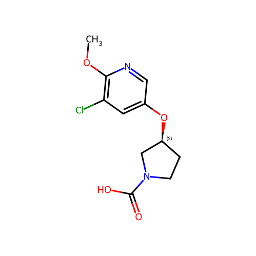 COc1ncc(O[C@H]2CCN(C(=O)O)C2)cc1Cl